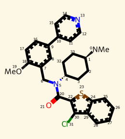 CN[C@H]1CC[C@H](N(Cc2cc(-c3ccncc3)ccc2OC)C(=O)c2sc3ccccc3c2Cl)CC1